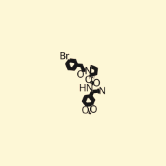 N#CC(NC(=O)O[C@H]1CCCN1C(=O)Cc1cccc(Br)c1)c1ccc2c(c1)OCO2